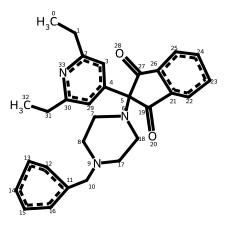 CCc1cc(C2(N3CCN(Cc4ccccc4)CC3)C(=O)c3ccccc3C2=O)cc(CC)n1